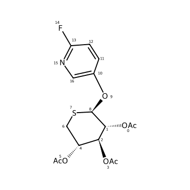 CC(=O)O[C@@H]1[C@@H](OC(C)=O)[C@H](OC(C)=O)CS[C@H]1Oc1ccc(F)nc1